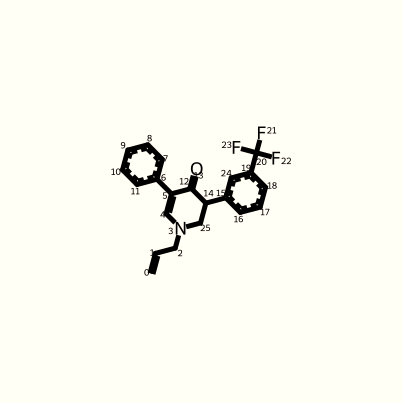 C=CCN1C=C(c2ccccc2)C(=O)C(c2cccc(C(F)(F)F)c2)C1